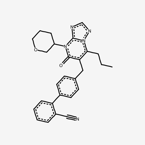 CCCc1c(Cc2ccc(-c3ccccc3C#N)cc2)c(=O)n(C2CCCOC2)c2ncnn12